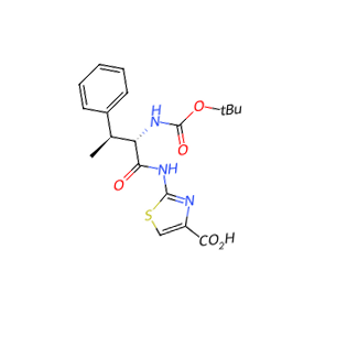 C[C@@H](c1ccccc1)[C@H](NC(=O)OC(C)(C)C)C(=O)Nc1nc(C(=O)O)cs1